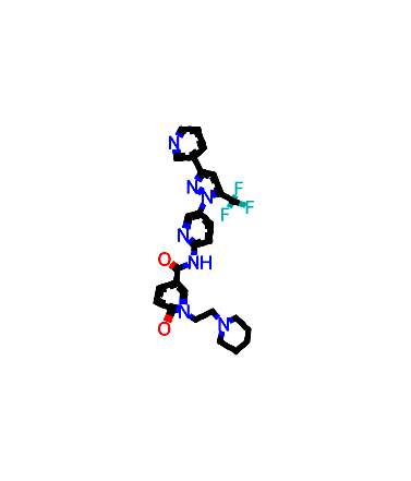 O=C(Nc1ccc(-n2nc(-c3cccnc3)cc2C(F)(F)F)cn1)c1ccc(=O)n(CCN2CCCCC2)c1